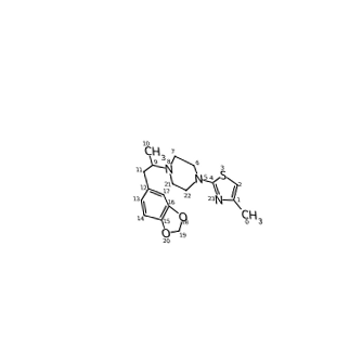 Cc1csc(N2CCN(C(C)Cc3ccc4c(c3)OCO4)CC2)n1